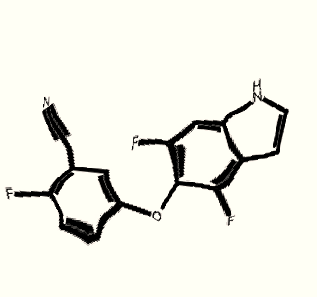 N#Cc1cc(Oc2c(F)cc3[nH]ccc3c2F)ccc1F